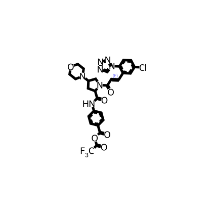 O=C(OC(=O)C(F)(F)F)c1ccc(NC(=O)C2CC(N3CCOCC3)CN2C(=O)/C=C/c2cc(Cl)ccc2-n2cnnn2)cc1